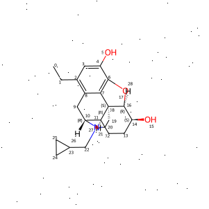 CCc1cc(O)c2c3c1C[C@@H]1[C@@H]4CC[C@H](O)[C@H](O2)[C@]34CCN1CC1CC1